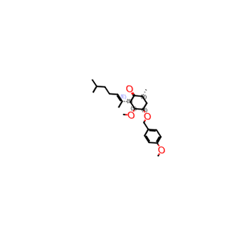 COc1ccc(CO[C@@H]2C[C@@H](C)C(=O)[C@@H](/C(C)=C/CCC(C)C)[C@@H]2OC)cc1